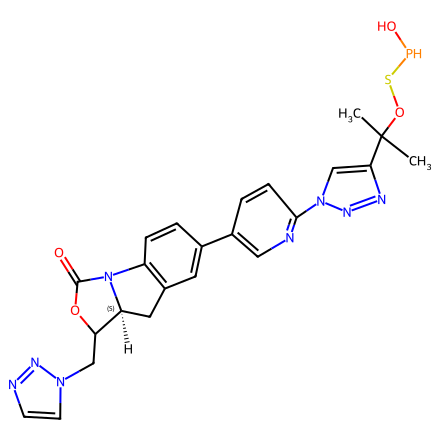 CC(C)(OSPO)c1cn(-c2ccc(-c3ccc4c(c3)C[C@H]3C(Cn5ccnn5)OC(=O)N43)cn2)nn1